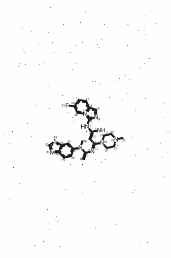 C=C(/N=C(\C=C(/N)Nc1ncc2ccc(F)cn12)N1CCN(C)CC1)N(C)c1ccc2ncsc2c1